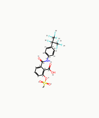 CS(=O)(=O)Oc1cccc(C(=O)Nc2ccc(C(F)(C(F)(F)F)C(F)(F)F)cc2)c1C(=O)O